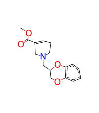 COC(=O)C1=CCCN(CC2COc3ccccc3O2)C1